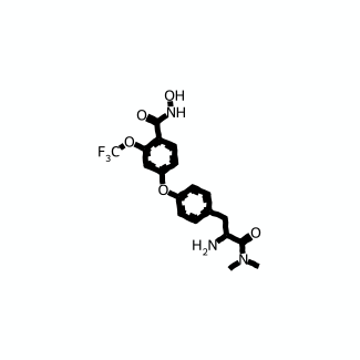 CN(C)C(=O)C(N)Cc1ccc(Oc2ccc(C(=O)NO)c(OC(F)(F)F)c2)cc1